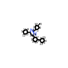 Cc1ccc(-c2nc(-c3ccccc3)cc(-c3cccc(-c4ccccc4)c3)n2)cc1